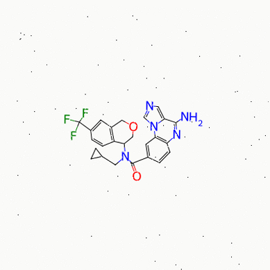 Nc1nc2ccc(C(=O)N(CC3CC3)C3COCc4cc(C(F)(F)F)ccc43)cc2n2cncc12